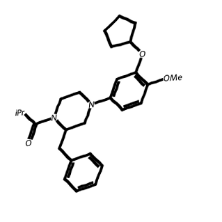 COc1ccc(N2CCN(C(=O)C(C)C)C(Cc3ccccc3)C2)cc1OC1CCCC1